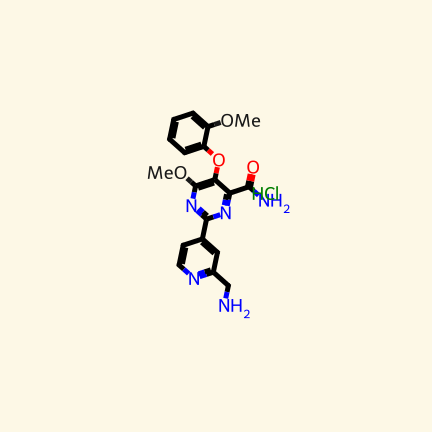 COc1ccccc1Oc1c(OC)nc(-c2ccnc(CN)c2)nc1C(N)=O.Cl